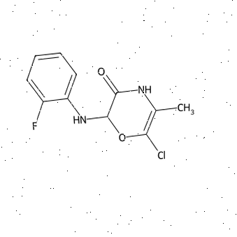 CC1=C(Cl)OC(Nc2ccccc2F)C(=O)N1